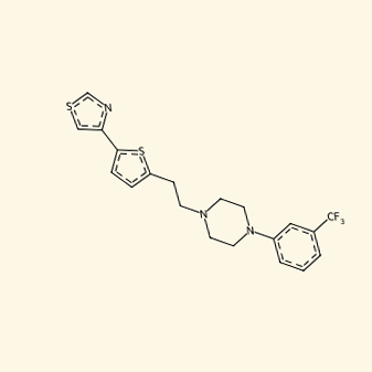 FC(F)(F)c1cccc(N2CCN(CCc3ccc(-c4cscn4)s3)CC2)c1